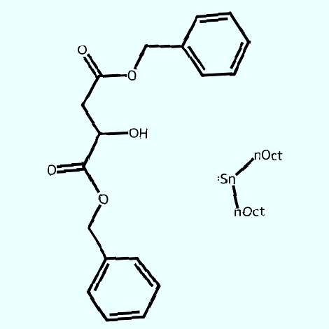 CCCCCCC[CH2][Sn][CH2]CCCCCCC.O=C(CC(O)C(=O)OCc1ccccc1)OCc1ccccc1